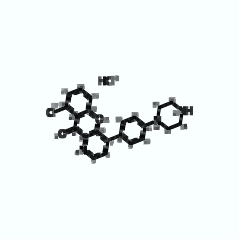 Cl.O=c1c2nccc(-c3ccc(N4CCNCC4)cc3)c2oc2cccc(Cl)c12